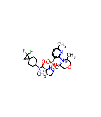 Cc1ccc(S(=O)(=O)N2CCC[C@H]2C(=O)N(C)C2CCC3(CC2)CC3(F)F)c(N2[C@@H](C)COC[C@@H]2C)n1